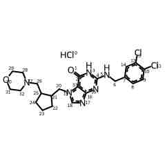 Cl.O=c1[nH]c(NCc2ccc(Cl)c(Cl)c2)nc2ncn(CC3CCCC3CN3CCOCC3)c12